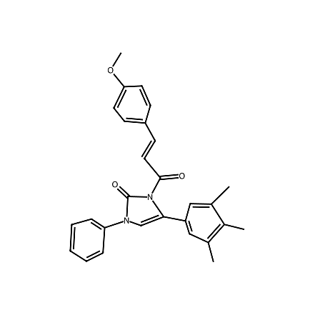 COc1ccc(C=CC(=O)n2c(-c3cc(C)c(C)c(C)c3)cn(-c3ccccc3)c2=O)cc1